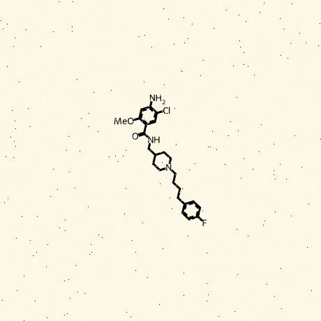 COc1cc(N)c(Cl)cc1C(=O)NCC1CCN(CC[CH]Cc2ccc(F)cc2)CC1